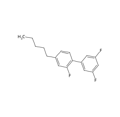 CCCCCc1ccc(-c2cc(F)cc(F)c2)c(F)c1